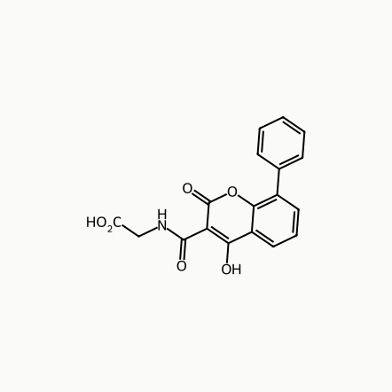 O=C(O)CNC(=O)c1c(O)c2cccc(-c3ccccc3)c2oc1=O